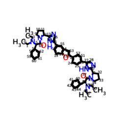 CCN(CC)C(C(=O)N1CCCC1c1ncc(-c2ccc3oc(-c4ccc(-c5cnc(C6CCCN6C(=O)[C@@H](c6ccccc6)N(CC)CC)[nH]5)cc4)cc3c2)[nH]1)c1ccccc1